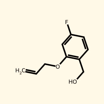 C=CCOc1cc(F)ccc1CO